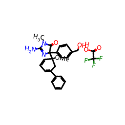 COC1(C2(c3ccc(CO)cc3)N=C(N)N(C)C2=O)C=CC=C(c2ccccc2)C1.O=C(O)C(F)(F)F